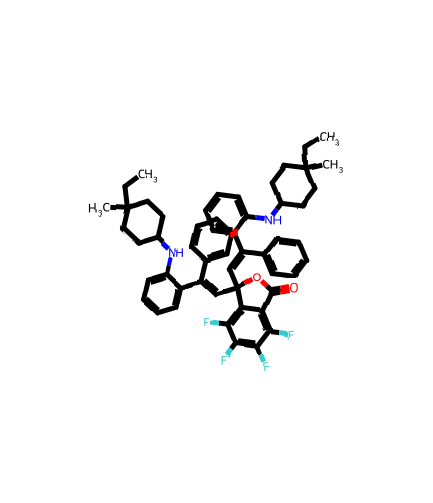 CCC1(C)CCC(Nc2ccccc2/C(=C/C2(/C=C(\c3ccccc3)c3ccccc3NC3CCC(C)(CC)CC3)OC(=O)c3c(F)c(F)c(F)c(F)c32)c2ccccc2)CC1